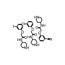 N#Cc1cccc(OCC(=O)NC2CCNCC2)c1.O=C(COc1cccc(Cl)c1)NC1CCNCC1.O=C(COc1cccc(F)c1)NC1CCNCC1